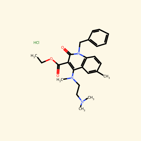 CCOC(=O)c1c(N(C)CCN(C)C)c2cc(C)ccc2n(Cc2ccccc2)c1=O.Cl